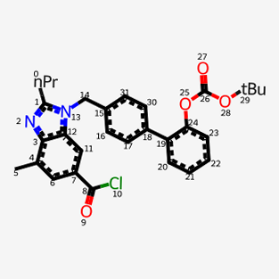 CCCc1nc2c(C)cc(C(=O)Cl)cc2n1Cc1ccc(-c2ccccc2OC(=O)OC(C)(C)C)cc1